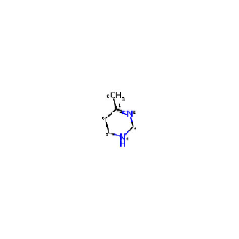 CC1=NCNCC1